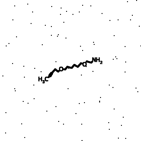 CC#CCCOCCCCCCOCCN